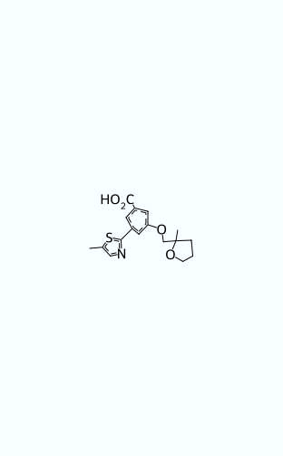 Cc1cnc(-c2cc(OCC3(C)CCCO3)cc(C(=O)O)c2)s1